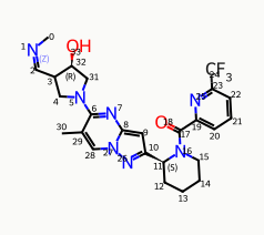 C/N=C\C1CN(c2nc3cc([C@@H]4CCCCN4C(=O)c4cccc(C(F)(F)F)n4)nn3cc2C)C[C@@H]1O